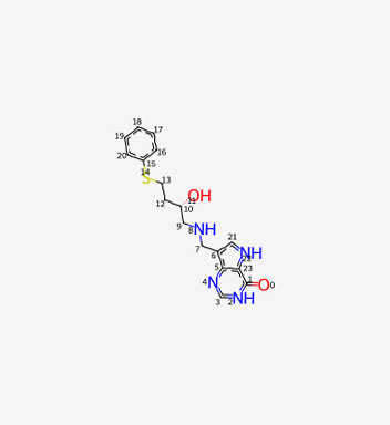 O=c1[nH]cnc2c(CNC[C@@H](O)CCSc3ccccc3)c[nH]c12